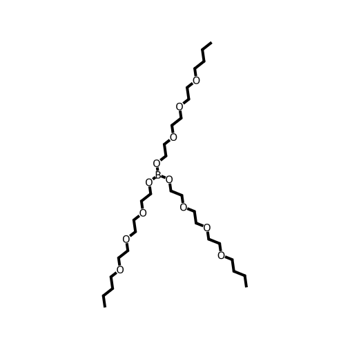 CCCCOCCOCCOCCOB(OCCOCCOCCOCCCC)OCCOCCOCCOCCCC